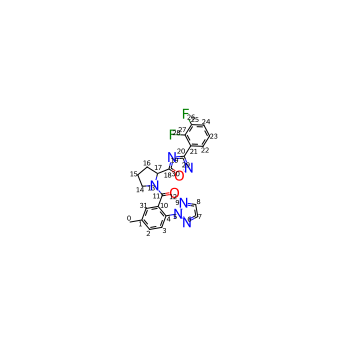 Cc1ccc(-n2nccn2)c(C(=O)N2CCCC2c2nc(-c3cccc(F)c3F)no2)c1